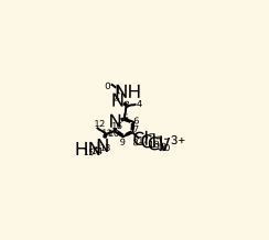 CNN=C(C)c1cc(C)cc(C(C)=NNC)n1.[Cl-].[Cl-].[Cl-].[V+3]